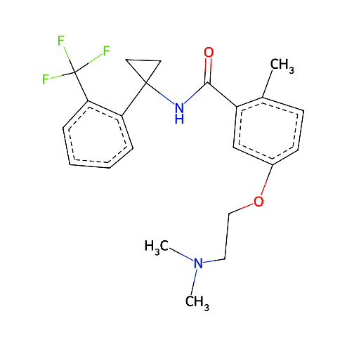 Cc1ccc(OCCN(C)C)cc1C(=O)NC1(c2ccccc2C(F)(F)F)CC1